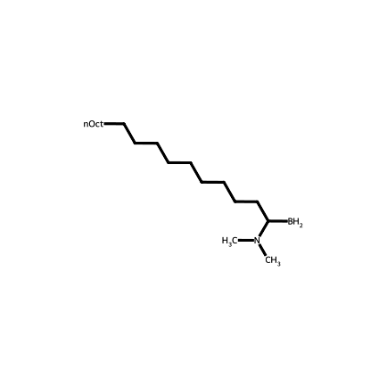 BC(CCCCCCCCCCCCCCCCC)N(C)C